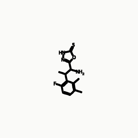 Cc1ccc(F)c(C(C)C(N)c2n[nH]c(=S)o2)c1C